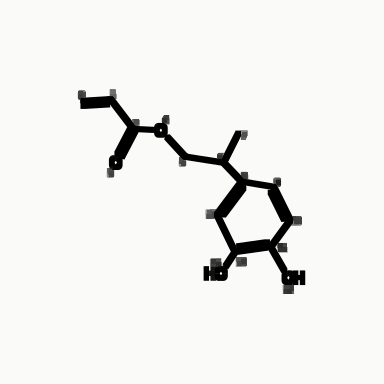 C=CC(=O)OCC(C)c1ccc(O)c(O)c1